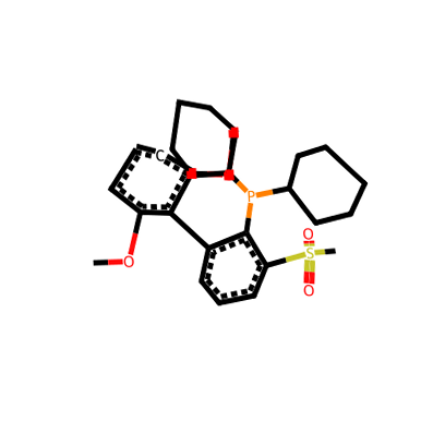 COc1cccc(OC)c1-c1cccc(S(C)(=O)=O)c1P(C1CCCCC1)C1CCCCC1